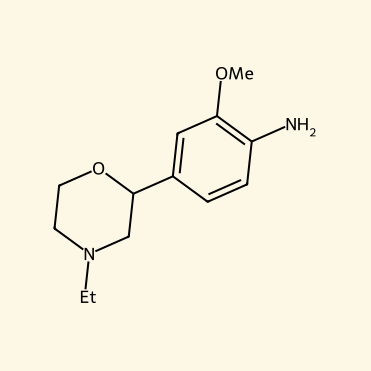 CCN1CCOC(c2ccc(N)c(OC)c2)C1